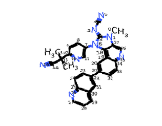 Cn1c(=NC#N)n(-c2ccc(C(C)(C)C#N)nc2)c2c3cc(-c4ccc5ncccc5c4)ccc3ncc21